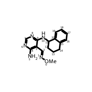 CO/N=C/c1c(N)ncnc1NC1CCCc2ccccc21